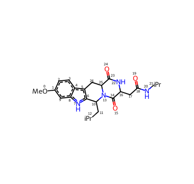 COc1ccc2c3c([nH]c2c1)C(CC(C)C)N1C(=O)C(CC(=O)NC(C)C)NC(=O)C1C3